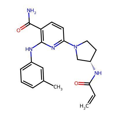 C=CC(=O)N[C@H]1CCN(c2ccc(C(N)=O)c(Nc3cccc(C)c3)n2)C1